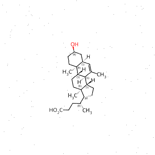 CC1=C[C@@H]2C[C@H](O)CC[C@]2(C)[C@H]2CC[C@]3(C)[C@@H]([C@H](C)CCC(=O)O)CC[C@H]3[C@H]12